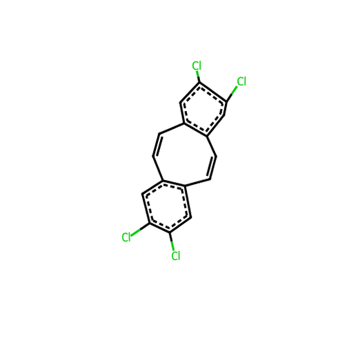 Clc1cc2c(cc1Cl)/C=C\c1cc(Cl)c(Cl)cc1/C=C\2